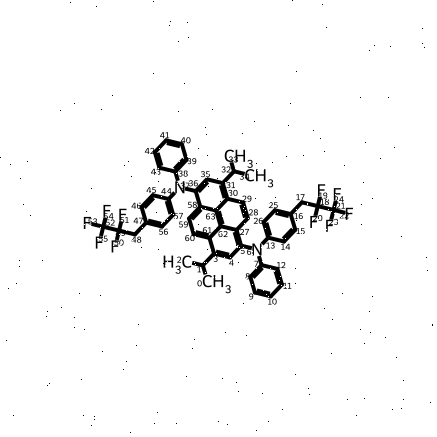 CC(C)c1cc(N(c2ccccc2)c2ccc(CC(F)(F)C(F)(F)F)cc2)c2ccc3c(C(C)C)cc(N(c4ccccc4)c4ccc(CC(F)(F)C(F)(F)F)cc4)c4ccc1c2c34